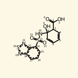 O=C(O)C1C=CC=CC1(O)NS(=O)(=O)c1cccc2nsnc12